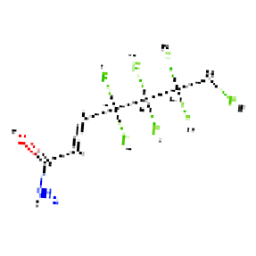 NC(=O)C=CC(F)(F)C(F)(F)C(F)(F)CF